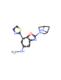 CNc1cc(-c2nccs2)c2oc(N3CC4CC(C3)N4)nc2c1